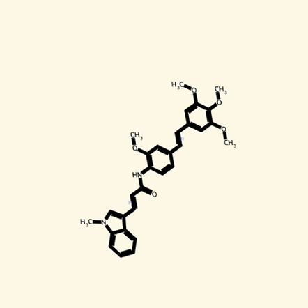 COc1cc(/C=C/c2cc(OC)c(OC)c(OC)c2)ccc1NC(=O)/C=C/c1cn(C)c2ccccc12